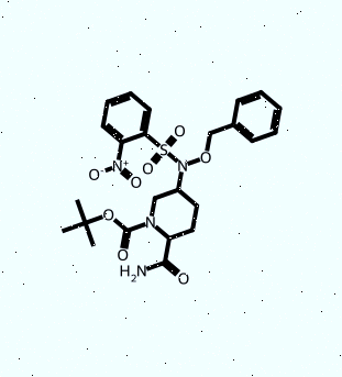 CC(C)(C)OC(=O)N1CC(N(OCc2ccccc2)S(=O)(=O)c2ccccc2[N+](=O)[O-])CCC1C(N)=O